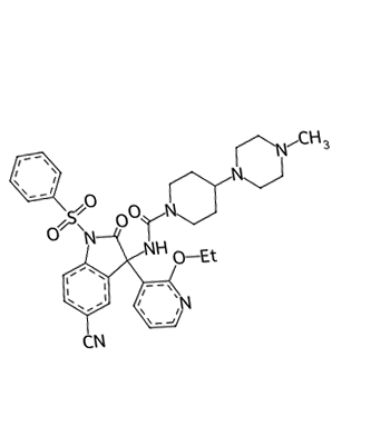 CCOc1ncccc1C1(NC(=O)N2CCC(N3CCN(C)CC3)CC2)C(=O)N(S(=O)(=O)c2ccccc2)c2ccc(C#N)cc21